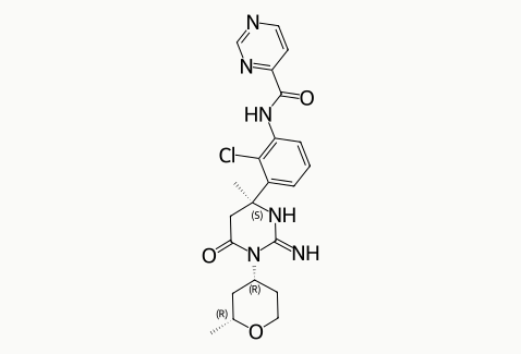 C[C@@H]1C[C@H](N2C(=N)N[C@](C)(c3cccc(NC(=O)c4ccncn4)c3Cl)CC2=O)CCO1